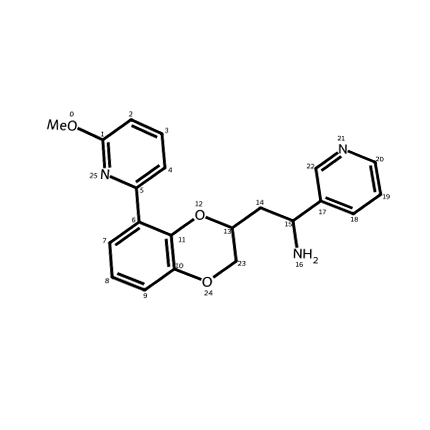 COc1cccc(-c2cccc3c2OC(CC(N)c2cccnc2)CO3)n1